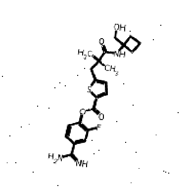 CC(C)(Cc1ccc(C(=O)Oc2ccc(C(=N)N)cc2F)s1)C(=O)NC1(CO)CCC1